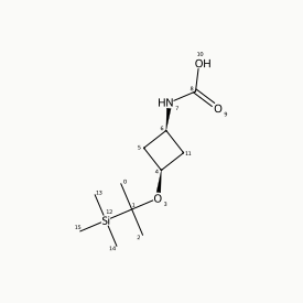 CC(C)(O[C@H]1C[C@@H](NC(=O)O)C1)[Si](C)(C)C